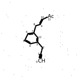 C#CCc1cccc(C/C=C/C(C)=O)c1